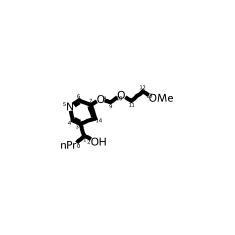 CCCC(O)c1cncc(OCOCCOC)c1